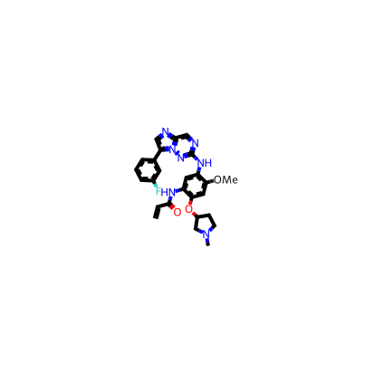 C=CC(=O)Nc1cc(Nc2ncc3ncc(-c4cccc(F)c4)n3n2)c(OC)cc1OC1CCN(C)C1